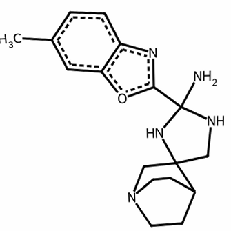 Cc1ccc2nc(C3(N)NCC4(CN5CCC4CC5)N3)oc2c1